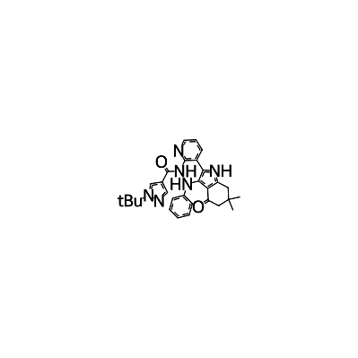 CC1(C)CC(=O)c2c([nH]c(-c3cccnc3NC(=O)c3cnn(C(C)(C)C)c3)c2Nc2ccccc2)C1